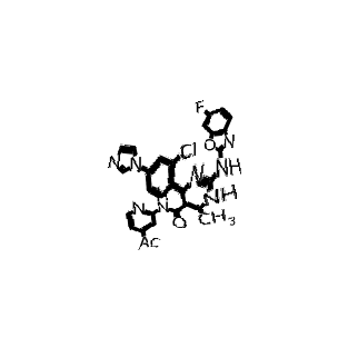 CC(=O)c1ccnc(NC(=O)C2=C(C)NC(Nc3nc4ccc(F)cc4o3)=NC2c2ccc(-n3ccnc3)cc2Cl)c1